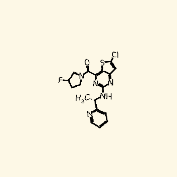 C[C@H](Nc1nc(C(=O)N2CC[C@@H](F)C2)c2sc(Cl)cc2n1)c1ccccn1